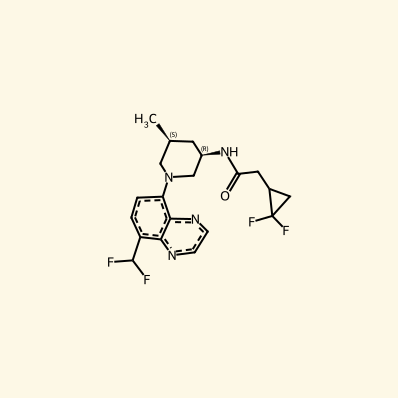 C[C@H]1C[C@@H](NC(=O)CC2CC2(F)F)CN(c2ccc(C(F)F)c3nccnc23)C1